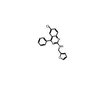 Clc1ccc2nc(NCc3ccco3)nc(-c3ccccc3)c2c1